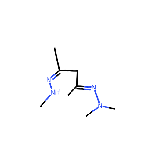 CN/N=C(/C)C/C(C)=N/N(C)C